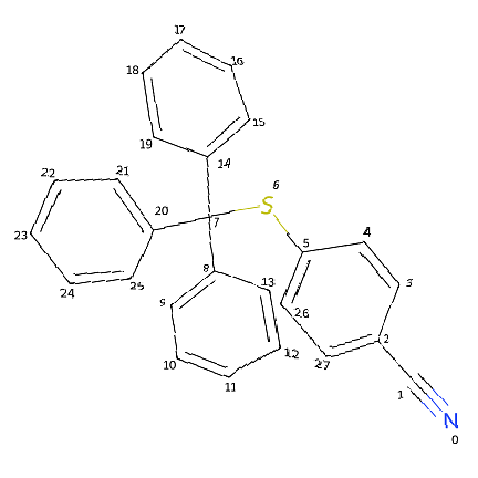 N#Cc1ccc(SC(c2ccccc2)(c2ccccc2)c2ccccc2)cc1